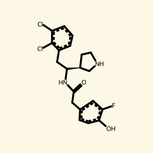 O=C(Cc1ccc(O)c(F)c1)NC(Cc1cccc(Cl)c1Cl)[C@H]1CCNC1